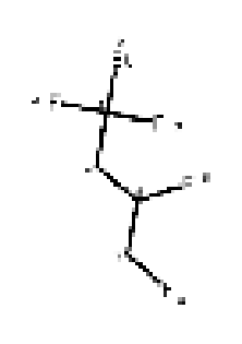 CCC(F)(F)CC(F)CF